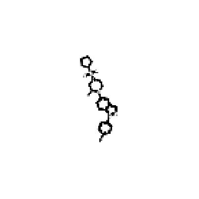 CC1CN(S(=O)(=O)C2CCCC2)CCN1c1ccc2c(cnn2-c2ccc(F)cc2)c1